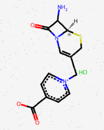 Cl.NC1C(=O)N2C=C(C[n+]3ccc(C(=O)[O-])cc3)CS[C@H]12